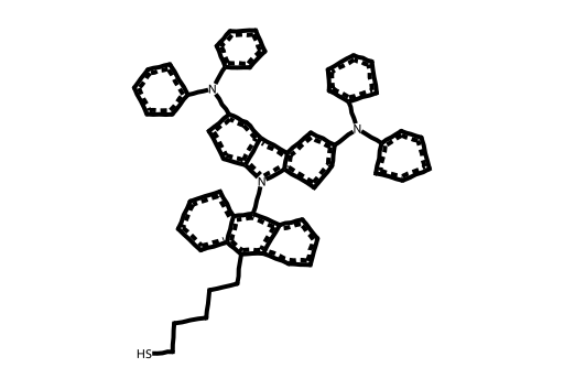 SCCCCCc1c2ccccc2c(-n2c3ccc(N(c4ccccc4)c4ccccc4)cc3c3cc(N(c4ccccc4)c4ccccc4)ccc32)c2ccccc12